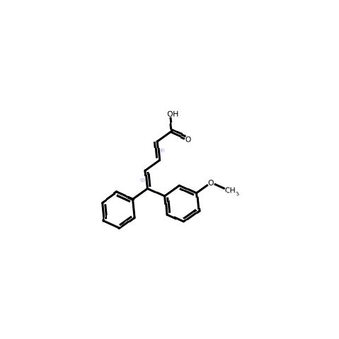 COc1cccc(/C(=C\C=C\C(=O)O)c2ccccc2)c1